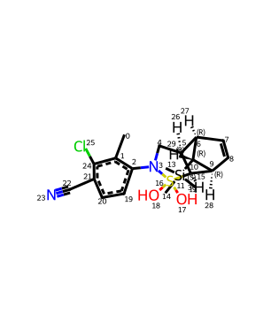 Cc1c(N2C[C@H]3[C@H]4C=C[C@H]([C@@H]4[Si](C)(C)C)[C@H]3S2(O)O)ccc(C#N)c1Cl